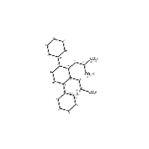 O=C(O)C(CC1C(C2CCCCC2)CCC(C2CCCCC2)C1CC(C(=O)O)C(=O)O)C(=O)O